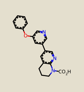 O=C(O)N1CCCc2cc(-c3cncc(Oc4ccccc4)c3)cnc21